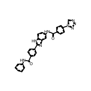 O=C(Nc1ccccc1)c1ccc(-c2nc3cc(NC(=O)c4ccc(-n5cnnn5)cc4)ccc3[nH]2)cc1